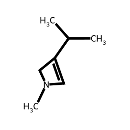 CC(C)C1=CN(C)C1